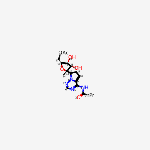 CCCC(=O)NC1=NC=NN2C1=CCC2[C@]1(C)O[C@H](COC(C)=O)[C@@H](O)[C@H]1O